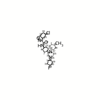 C[C@H]1CC[C@](c2cccc(NC(=O)c3noc4ccc(Cl)cc34)c2)(N2CCN(c3ccc(F)cc3)CC2)CC1